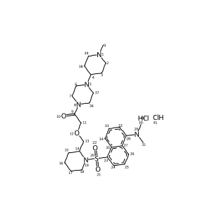 CN1CCC(N2CCN(C(=O)COCC3CCCCN3S(=O)(=O)c3cccc4c(N(C)C)cccc34)CC2)CC1.Cl.Cl